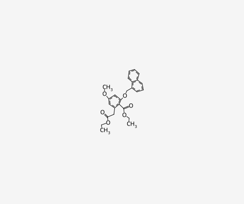 CCOC(=O)Cc1cc(OC)cc(OCc2cccc3ccccc23)c1C(=O)OCC